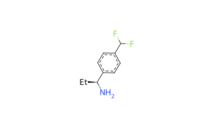 CC[C@H](N)c1ccc(C(F)F)cc1